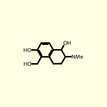 CNC1CCc2c(ccc(O)c2CO)C1O